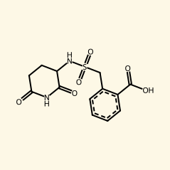 O=C1CCC(NS(=O)(=O)Cc2ccccc2C(=O)O)C(=O)N1